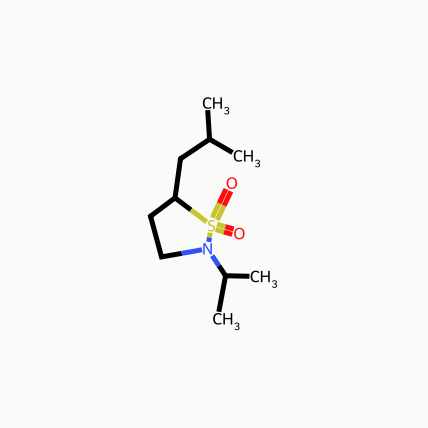 CC(C)CC1CCN(C(C)C)S1(=O)=O